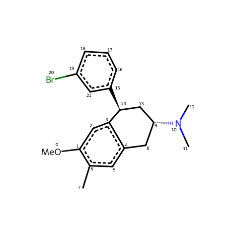 COc1cc2c(cc1C)C[C@@H](N(C)C)C[C@@H]2c1cccc(Br)c1